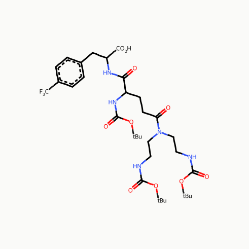 CC(C)(C)OC(=O)NCCN(CCNC(=O)OC(C)(C)C)C(=O)CCC(NC(=O)OC(C)(C)C)C(=O)NC(Cc1ccc(C(F)(F)F)cc1)C(=O)O